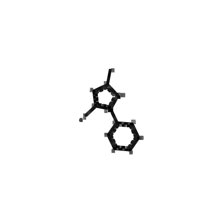 Cc1cc(I)n(-c2ccccc2)n1